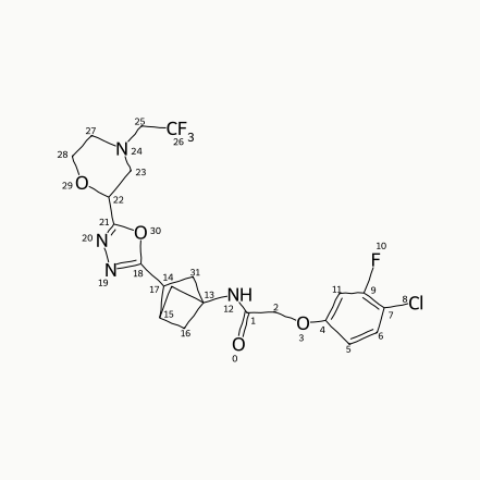 O=C(COc1ccc(Cl)c(F)c1)NC12CC(C1)C(c1nnc(C3CN(CC(F)(F)F)CCO3)o1)C2